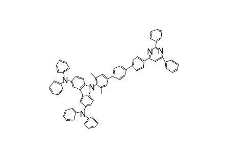 Cc1cc(-c2ccc(-c3ccc(-c4cc(-c5ccccc5)nc(-c5ccccc5)n4)cc3)cc2)cc(C)c1-n1c2ccc(N(c3ccccc3)c3ccccc3)cc2c2cc(N(c3ccccc3)c3ccccc3)ccc21